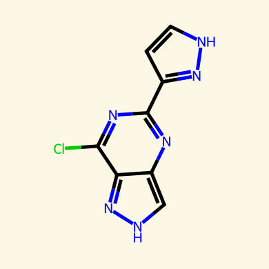 Clc1nc(-c2cc[nH]n2)nc2c[nH]nc12